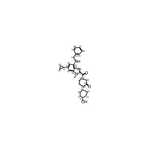 Cn1c(C(=O)N2CCN([C@H]3CC[C@H](O)CC3)C(=O)C2)nc2c(NCc3ccccc3)cc(C3CC3)cc21